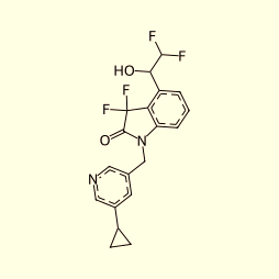 O=C1N(Cc2cncc(C3CC3)c2)c2cccc(C(O)C(F)F)c2C1(F)F